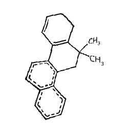 CC1(C)Cc2c(ccc3ccccc23)C2=C1CCC=C2